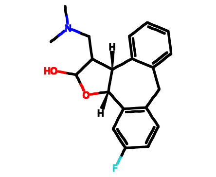 CN(C)CC1C(O)O[C@H]2c3cc(F)ccc3Cc3ccccc3[C@@H]12